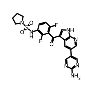 Nc1ncc(-c2cnc3[nH]cc(C(=O)c4c(F)ccc(NS(=O)(=O)N5CCCC5)c4F)c3c2)cn1